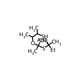 CCC(C)(OC(C)=O)SC(C)(C)OC(C)C(C)S